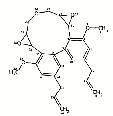 C=CCc1cc(OC)c2c(c1)-c1cc(CC=C)cc(OC)c1C1OC1COCC1OC21